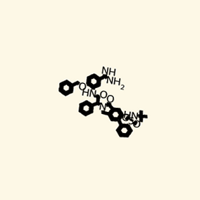 CC(C)(C)NS(=O)(=O)c1ccccc1-c1ccc2c(c1)CN(C(C(=O)Nc1cc(C(=N)N)ccc1OCc1ccccc1)c1ccccc1)C2=O